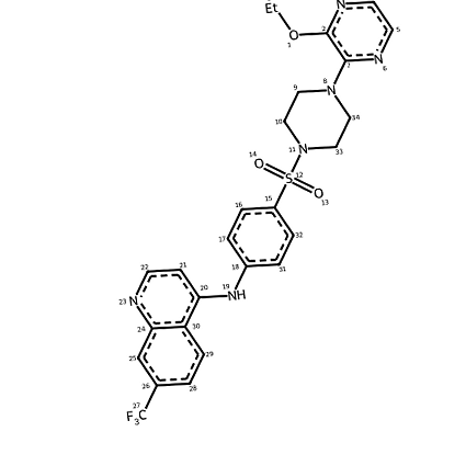 CCOc1nccnc1N1CCN(S(=O)(=O)c2ccc(Nc3ccnc4cc(C(F)(F)F)ccc34)cc2)CC1